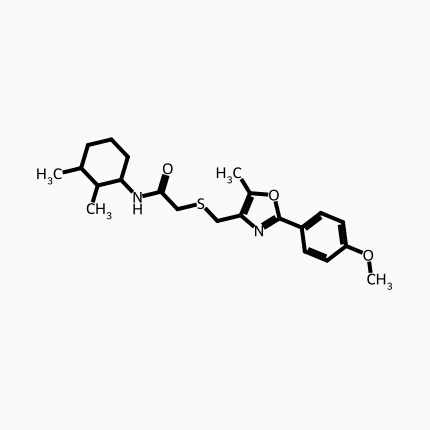 COc1ccc(-c2nc(CSCC(=O)NC3CCCC(C)C3C)c(C)o2)cc1